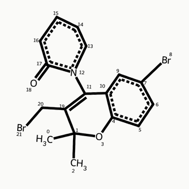 CC1(C)Oc2ccc(Br)cc2C(n2ccccc2=O)=C1CBr